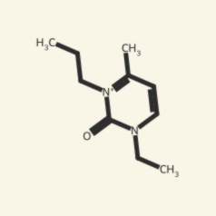 CCC[n+]1c(C)ccn(CC)c1=O